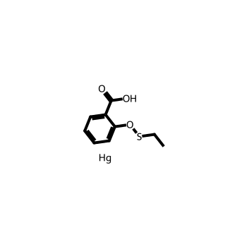 CCSOc1ccccc1C(=O)O.[Hg]